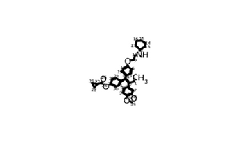 CCC(=C(c1ccc(OCCNC2CCCCC2)cc1)c1ccc(OC(=O)C2CC2)cc1)c1ccc2c(c1)OCO2